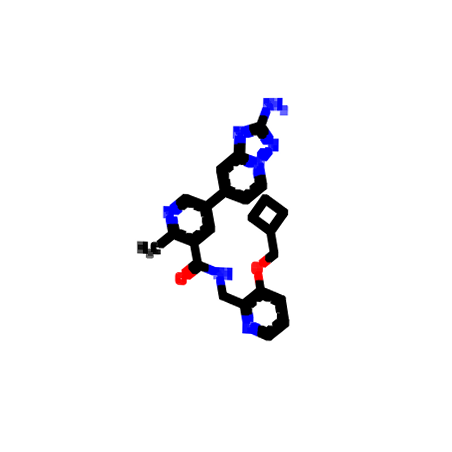 Cc1ncc(-c2ccn3nc(N)nc3c2)cc1C(=O)NCc1ncccc1OCC1CCC1